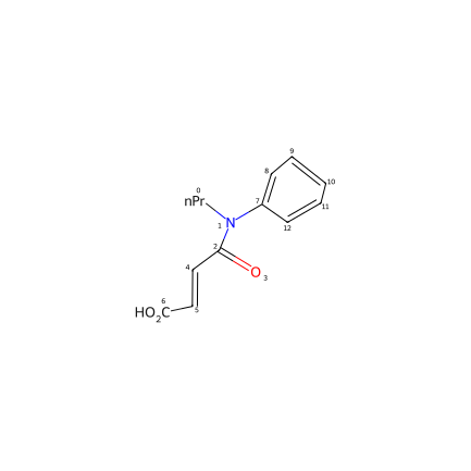 CCCN(C(=O)/C=C/C(=O)O)c1ccccc1